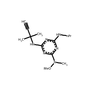 C#CC(C)(C)Nc1nc(NCCC)nc(N(C)OC)n1